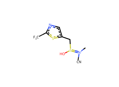 C[N+](C#N)=S(O)Cc1cnc(C(F)(F)F)s1